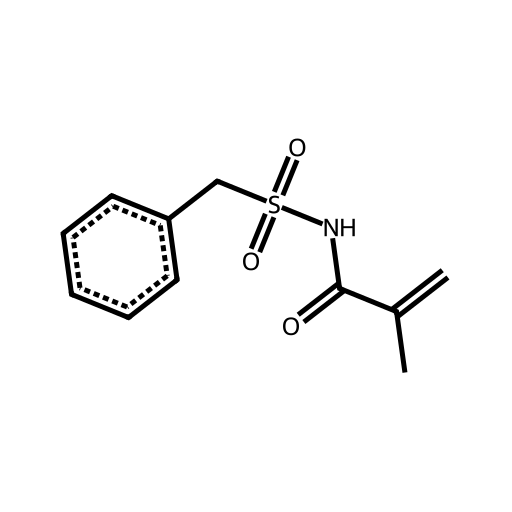 C=C(C)C(=O)NS(=O)(=O)Cc1ccccc1